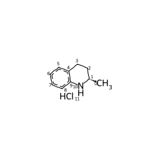 C[C@@H]1CCc2ccccc2N1.Cl